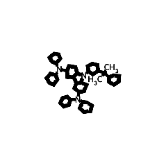 CC(C)(c1ccccc1)c1cccc(-n2c3ccc(N(c4ccccc4)c4ccccc4)cc3c3cc(N(c4ccccc4)c4ccccc4)ccc32)c1